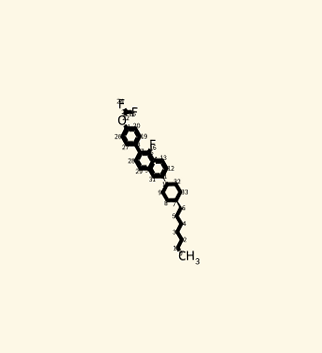 CCCCCCC[C@H]1CC[C@H](c2ccc3c(F)c(-c4ccc(OC(F)F)cc4)ccc3c2)CC1